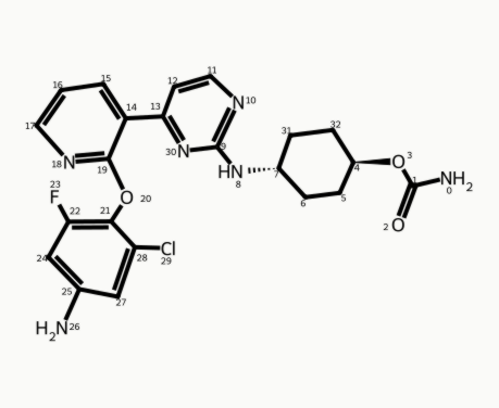 NC(=O)O[C@H]1CC[C@H](Nc2nccc(-c3cccnc3Oc3c(F)cc(N)cc3Cl)n2)CC1